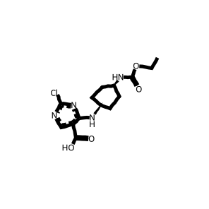 CCOC(=O)N[C@H]1CC[C@@H](Nc2nc(Cl)ncc2C(=O)O)CC1